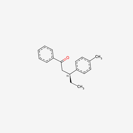 CC[C@@H](CC(=O)c1ccccc1)c1ccc(C)cc1